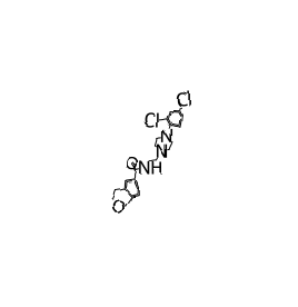 O=C(NCCN1CCN(c2ccc(Cl)cc2Cl)CC1)c1ccc2c(c1)CCOC2